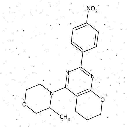 CC1COCCN1c1nc(-c2ccc([N+](=O)[O-])cc2)nc2c1CCCO2